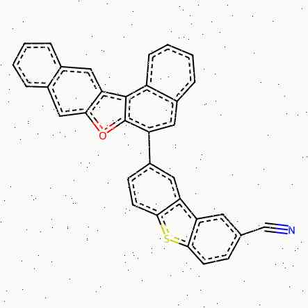 N#Cc1ccc2sc3ccc(-c4cc5ccccc5c5c4oc4cc6ccccc6cc45)cc3c2c1